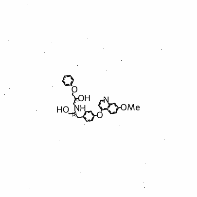 COc1ccc2c(Oc3ccc(C[C@@H](CO)NC[C@H](O)COc4ccccc4)cc3)ccnc2c1